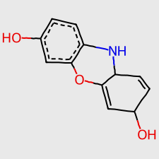 Oc1ccc2c(c1)OC1=CC(O)C=CC1N2